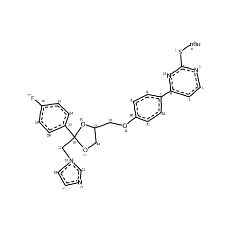 CCCCSc1nccc(-c2ccc(OCC3COC(Cn4ccnc4)(c4ccc(F)cc4)O3)cc2)n1